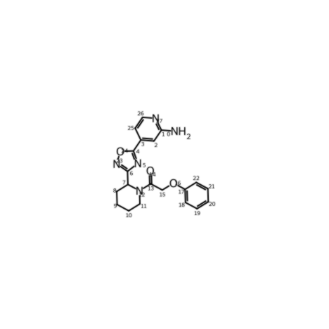 Nc1cc(-c2nc(C3CCCCN3C(=O)COc3ccccc3)no2)ccn1